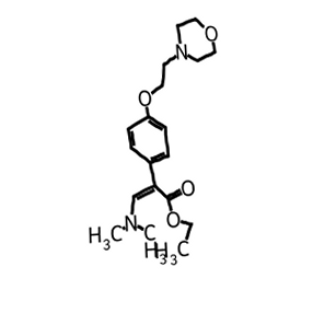 CCOC(=O)C(=CN(C)C)c1ccc(OCCN2CCOCC2)cc1